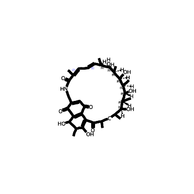 C/C1=C/C=C/[C@H](C)[C@H](O)[C@@H](C)[C@@H](O)[C@@H](C)[C@H](O)[C@H](C)[C@@H](O)C(C)CC(C)C(=O)C2=C(O)C(C)C(O)C3=C2C(=O)C=C(NC1=O)C3=O